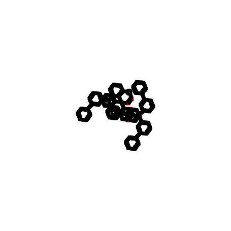 c1ccc(-c2cccc(N(c3cccc(-c4ccccc4)c3)c3ccc4c(c3)C3(c5ccccc5O4)c4ccccc4Oc4cccc(N(c5cccc(-c6ccccc6)c5)c5cccc(-c6ccccc6)c5)c43)c2)cc1